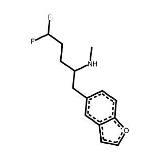 CNC(CCC(F)F)Cc1ccc2occc2c1